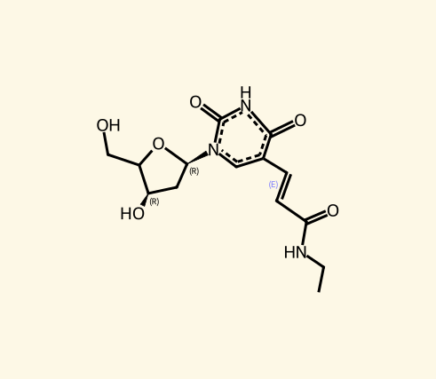 CCNC(=O)/C=C/c1cn([C@H]2C[C@@H](O)C(CO)O2)c(=O)[nH]c1=O